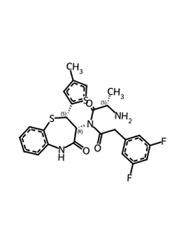 Cc1csc([C@H]2Sc3ccccc3NC(=O)[C@H]2N(C(=O)Cc2cc(F)cc(F)c2)C(=O)[C@H](C)N)c1